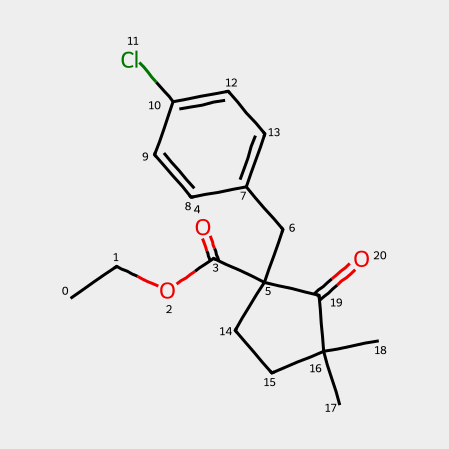 CCOC(=O)C1(Cc2ccc(Cl)cc2)CCC(C)(C)C1=O